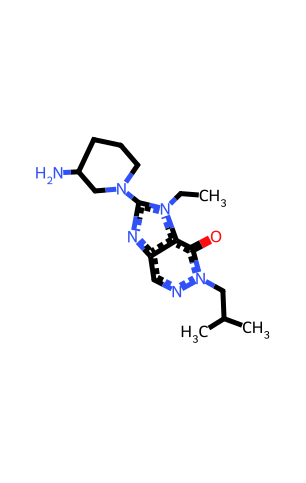 CCn1c(N2CCCC(N)C2)nc2cnn(CC(C)C)c(=O)c21